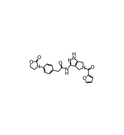 O=C(Cc1ccc(N2CCOC2=O)cc1)Nc1n[nH]c2c1CN(C(=O)c1ccco1)C2